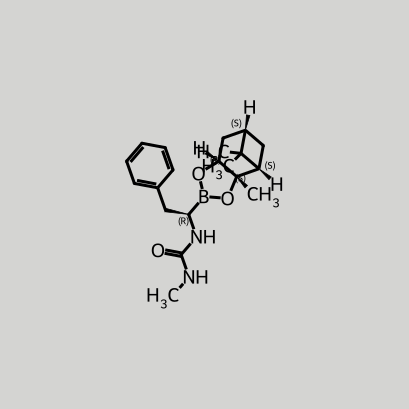 CNC(=O)N[C@@H](Cc1ccccc1)B1O[C@@H]2C[C@@H]3C[C@@H](C3(C)C)[C@]2(C)O1